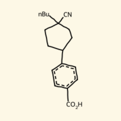 CCCCC1(C#N)CCC(c2ccc(C(=O)O)cc2)CC1